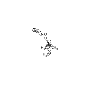 COc1cc(C)c(S(=O)(=O)N2CCCC(COCC(=O)N3CCC(O)(Cc4ccccc4)CC3)C2)c(C)c1